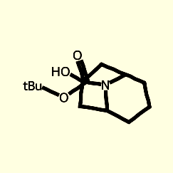 CC(C)(C)OC(=O)N1C2CCCC1CC(O)C2